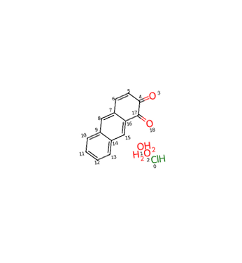 Cl.O.O.O=C1C=Cc2cc3ccccc3cc2C1=O